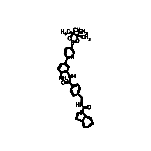 CC1(C)OB(c2ccc(-c3ccc(N)c(NC(=O)c4ccc(CNC(=O)n5ccc6ccccc65)cc4)c3)nc2)OC1(C)C